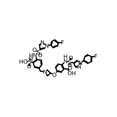 O=C(O)c1cc(OC2CN(Cc3ccc(NS(=O)(=O)c4cnn(-c5ccc(F)cc5)c4)c(S(=O)(=O)O)c3)C2)ccc1NS(=O)(=O)c1cnn(-c2ccc(F)cc2)c1